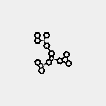 C1=CC2c3ccccc3N(c3ccc4c(c3)c3cc(-c5ccc(N(c6ccccc6)c6cccc7ccccc67)cc5)ccc3n4-c3ccc4c5ccccc5c5ccccc5c4c3)C2C=C1